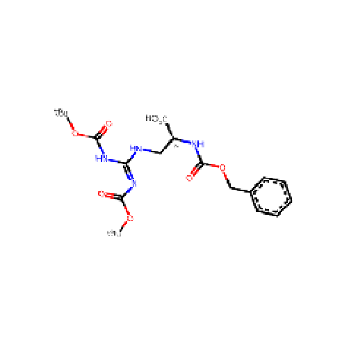 CC(C)(C)OC(=O)N=C(NC[C@H](NC(=O)OCc1ccccc1)C(=O)O)NC(=O)OC(C)(C)C